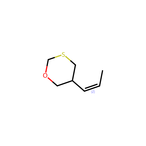 C/C=C\C1COCSC1